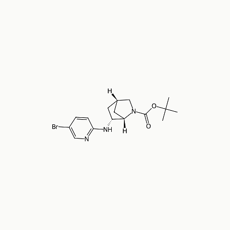 CC(C)(C)OC(=O)N1C[C@H]2C[C@@H](Nc3ccc(Br)cn3)[C@@H]1C2